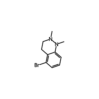 CN1CCc2c(Br)cccc2N1C